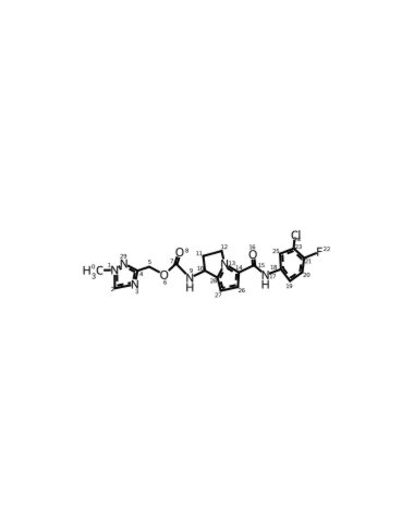 Cn1cnc(COC(=O)NC2CCn3c(C(=O)Nc4ccc(F)c(Cl)c4)ccc32)n1